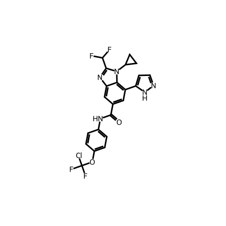 O=C(Nc1ccc(OC(F)(F)Cl)cc1)c1cc(-c2ccn[nH]2)c2c(c1)nc(C(F)F)n2C1CC1